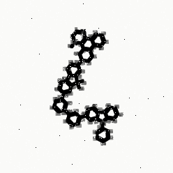 CN1CC=Nc2c1c1c(c3ccccc23)CCC(c2ccc3c(c2)C(C)(C)c2cc(-c4cccc(-c5cccc(-c6ccc7c8ccccc8n(-c8ccccc8)c7c6)c5)c4)ccc2-3)C1